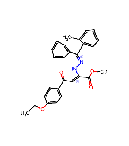 CCOc1ccc(C(=O)/C=C(\N/N=C(\c2ccccc2)c2ccccc2C)C(=O)OC)cc1